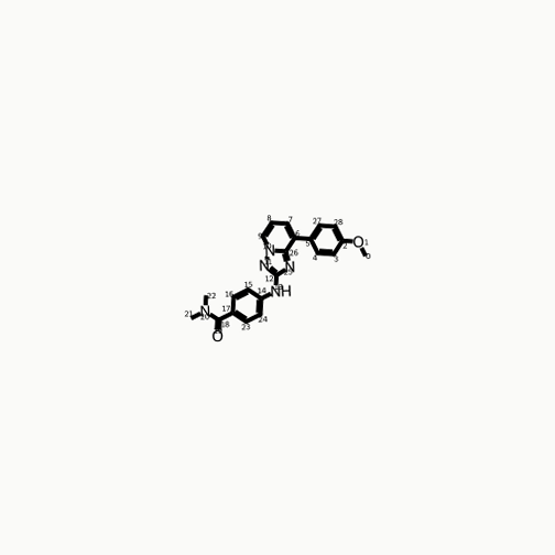 COc1ccc(-c2cccn3nc(Nc4ccc(C(=O)N(C)C)cc4)nc23)cc1